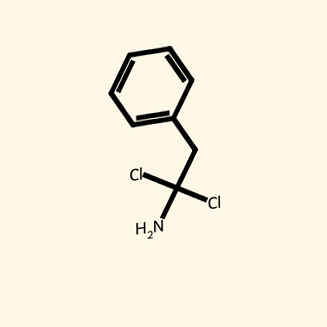 NC(Cl)(Cl)Cc1ccccc1